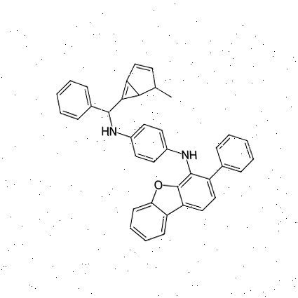 CC1C=CC2=C(C(Nc3ccc(Nc4c(-c5ccccc5)ccc5c4oc4ccccc45)cc3)c3ccccc3)C21